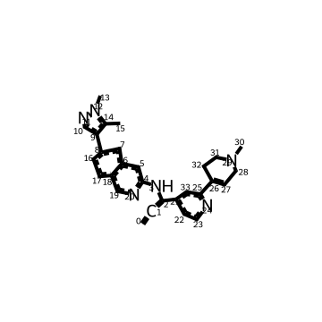 C=C=C(Nc1cc2cc(-c3cnn(C)c3C)ccc2cn1)c1ccnc(C2=CCN(C)CC2)c1